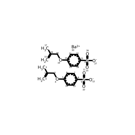 C=C(C)COc1ccc(S(=O)(=O)[O-])cc1.C=C(C)COc1ccc(S(=O)(=O)[O-])cc1.[Ba+2]